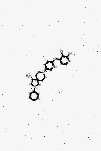 Nc1nccc(Sc2cnc(N3CCC4(CC3)CN(c3ccccc3)C[C@H]4N)cn2)c1Cl